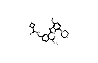 COc1ccc(N2CCOCC2)c2sc(-c3cc(CNC(=O)C4CCC4)ccc3C(N)=O)nc12